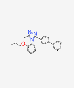 CCCOc1ccccc1-n1c(C)nnc1-c1ccc(-c2ccccc2)cc1